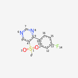 CS(=O)(=O)c1cncnc1-c1ccc(F)cc1